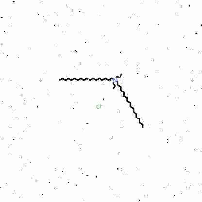 CCCCCCCCCCCCCCCCCC[N+](CCC)(CCC)CCCCCCCCCCCCCCCCCC.[Cl-]